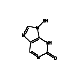 O=c1ncc2ncn(S)c2[nH]1